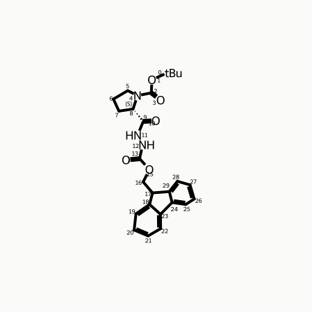 CC(C)(C)OC(=O)N1CCC[C@H]1C(=O)NNC(=O)OCC1c2ccccc2-c2ccccc21